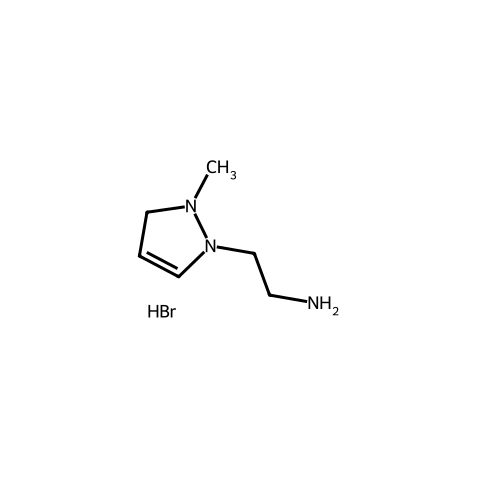 Br.CN1CC=CN1CCN